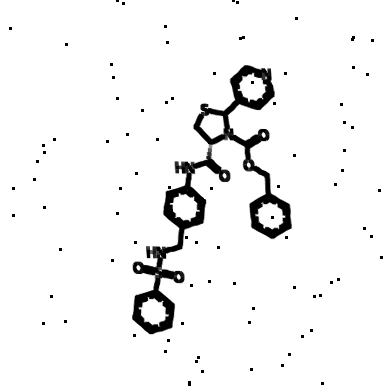 O=C(Nc1ccc(CNS(=O)(=O)c2ccccc2)cc1)[C@@H]1CSC(c2ccncc2)N1C(=O)OCc1ccccc1